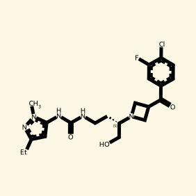 CCc1cc(NC(=O)NCC[C@@H](CO)N2CC(C(=O)c3ccc(Cl)c(F)c3)C2)n(C)n1